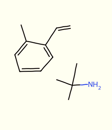 C=Cc1ccccc1C.CC(C)(C)N